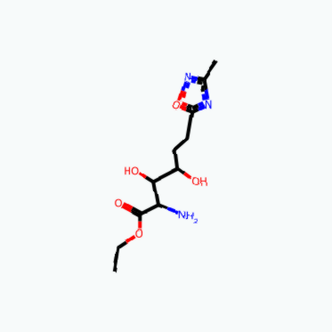 CCOC(=O)C(N)C(O)C(O)CCc1nc(C)no1